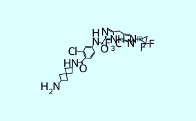 NC1CC2(C1)CC(NC(=O)c1ccc(NC(=O)c3ncc(Cc4cn([C@H]5CC5(F)F)nc4C(F)(F)F)[nH]3)cc1Cl)C2